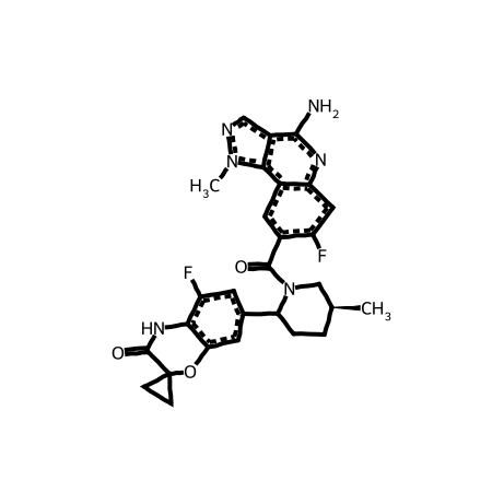 C[C@H]1CCC(c2cc(F)c3c(c2)OC2(CC2)C(=O)N3)N(C(=O)c2cc3c(cc2F)nc(N)c2cnn(C)c23)C1